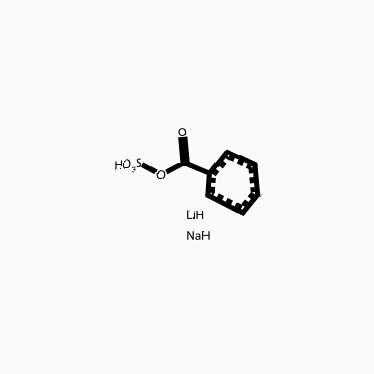 O=C(OS(=O)(=O)O)c1ccccc1.[LiH].[NaH]